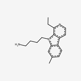 CCc1nccc2c3ccc(C)cc3n(CCCCN)c12